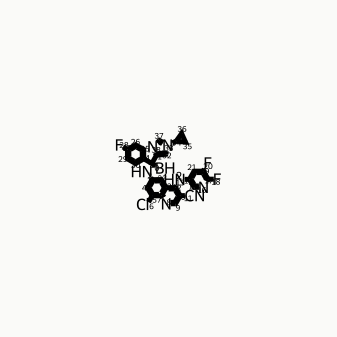 BC(Nc1cc(Cl)c2ncc(C#N)c(Nc3cnc(F)c(F)c3)c2c1)(c1ccc(F)cc1)c1cn(C2CC2)cn1